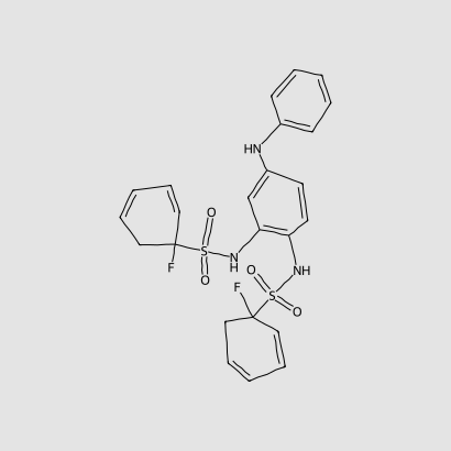 O=S(=O)(Nc1ccc(Nc2ccccc2)cc1NS(=O)(=O)C1(F)C=CC=CC1)C1(F)C=CC=CC1